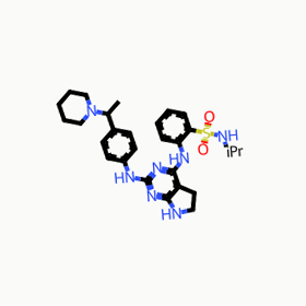 CC(C)NS(=O)(=O)c1ccccc1Nc1nc(Nc2ccc(C(C)N3CCCCC3)cc2)nc2c1CCN2